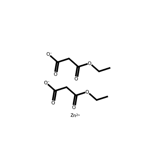 CCOC(=O)CC(=O)[O-].CCOC(=O)CC(=O)[O-].[Zn+2]